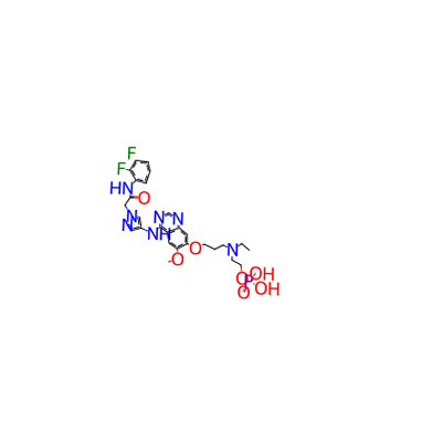 CCN(CCCOc1cc2ncnc(Nc3cnn(CC(=O)Nc4cccc(F)c4F)c3)c2cc1OC)CCOP(=O)(O)O